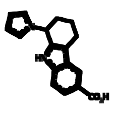 O=C(O)c1ccc2[nH]c3c(c2c1)CCCC3n1cccc1